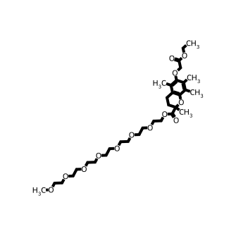 CCOC(=O)COc1c(C)c(C)c2c(c1C)CCC(C)(C(=O)OCCOCCOCCOCCOCCOCCOCCOC)O2